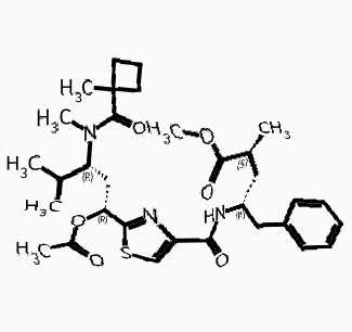 COC(=O)[C@@H](C)C[C@H](Cc1ccccc1)NC(=O)c1csc([C@@H](C[C@H](C(C)C)N(C)C(=O)C2(C)CCC2)OC(C)=O)n1